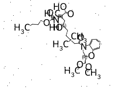 CCCCOC(=O)N[C@](C)(C[C@@H](O)CCC(C)(C)CC(=O)N1C[C@H](C(OC)OC)Oc2ccccc21)C(=O)O